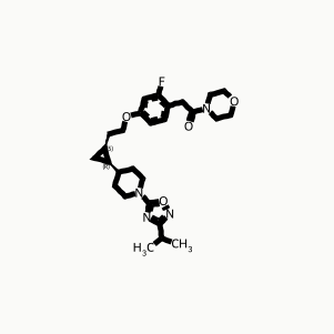 CC(C)c1noc(N2CCC([C@H]3C[C@H]3CCOc3ccc(CC(=O)N4CCOCC4)c(F)c3)CC2)n1